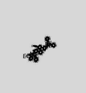 CC#Cc1ccc(-c2cccc(-c3nc(C4=CCCCC4)nc(-c4ccccc4)n3)c2)c(-c2ccccc2-c2cccc(C(=N/C(=C/CC)c3ccccc3)/N=C(\C)c3ccccc3)c2)c1